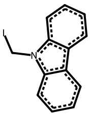 ICn1c2ccccc2c2ccccc21